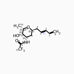 C=C/C=C/C[C@H]1C[C@H](NC(=O)C(F)(F)F)[C@H](O)[C@H](C)O1